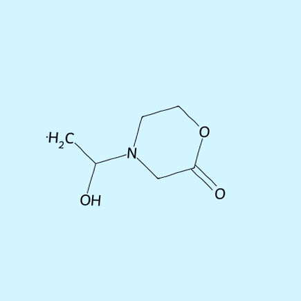 [CH2]C(O)N1CCOC(=O)C1